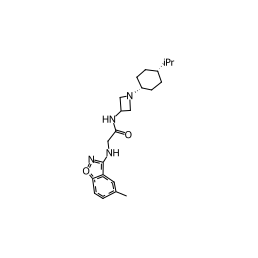 Cc1ccc2onc(NCC(=O)NC3CN([C@H]4CC[C@@H](C(C)C)CC4)C3)c2c1